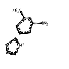 O=[N+]([O-])c1cccc(S(=O)(=O)O)c1.c1cc[nH]c1